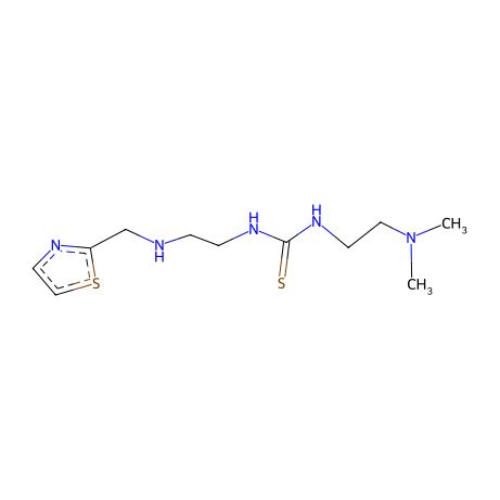 CN(C)CCNC(=S)NCCNCc1nccs1